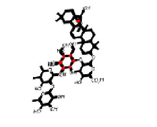 CC1OC(OC2C(OC3C(O)C(C(=O)O)OC(OC4CCC5(C)C(CCC6(C)C5CCC57OCC8(CCC(C)(C)CC85)C(O)CC67C)C4(C)C)C3OC3OC(CO)C(O)C(O)C3O)OC(CO)C(O)C2O)C(OC2OC(C)C(O)C(O)C2O)C(O)C1C